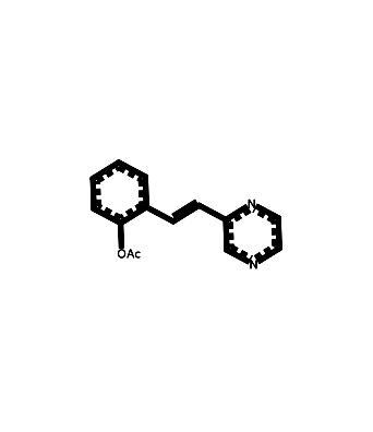 CC(=O)Oc1ccccc1C=Cc1cnccn1